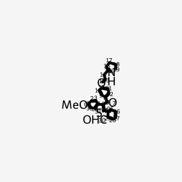 COc1ccc2c(C(=O)c3ccc(OCCC4CCCCN4)cc3)c(-c3ccccc3C=O)sc2c1